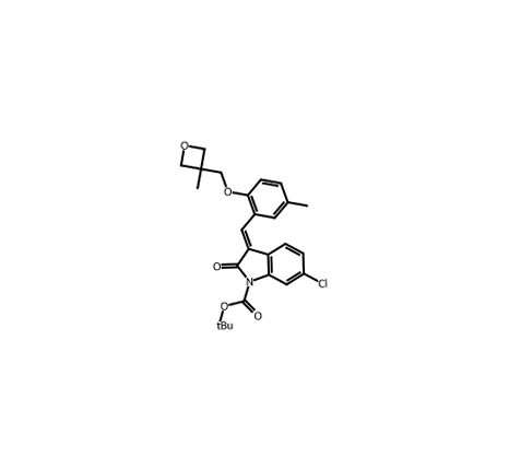 Cc1ccc(OCC2(C)COC2)c(/C=C2/C(=O)N(C(=O)OC(C)(C)C)c3cc(Cl)ccc32)c1